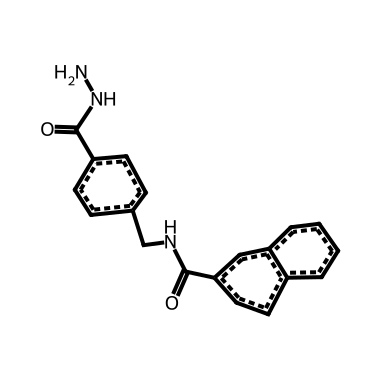 NNC(=O)c1ccc(CNC(=O)c2ccc3ccccc3c2)cc1